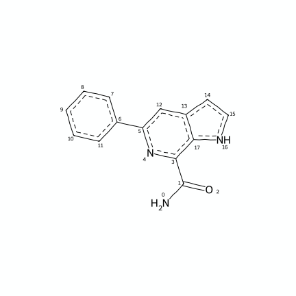 NC(=O)c1nc(-c2ccccc2)cc2cc[nH]c12